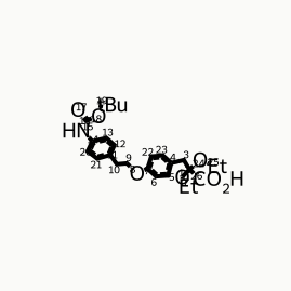 CCOC(Cc1ccc(OCCc2ccc(NC(=O)OC(C)(C)C)cc2)cc1)(OCC)C(=O)O